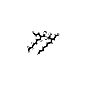 CCCCCCCC(CCC)C(=O)OC(=O)C(CCC)CCCCCCC